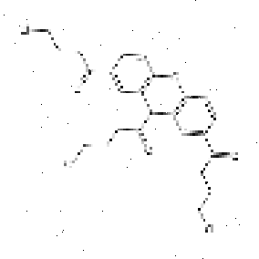 O=C(CCCCl)c1ccc2c(c1)C(C(=O)CCCCl)c1cc(C(=O)CCCCl)ccc1O2